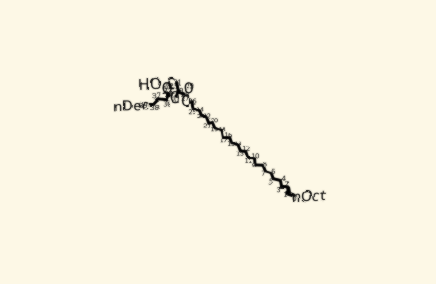 CCCCCCCCC=CCCCCCCCCCCCCCCCCCCCCCCCCOC(=O)C(CC(=O)O)OC(=O)CCCCCCCCCCCCC